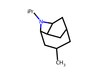 CC1CC2CC3C(C1)N(C(C)C)C3C2